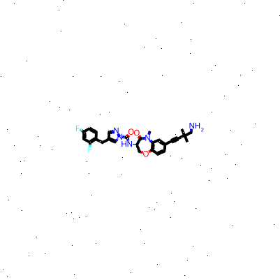 CN1C(=O)[C@@H](NC(=O)n2cc(Cc3ccc(F)cc3F)cn2)COc2ccc(C#CC(C)(C)CN)cc21